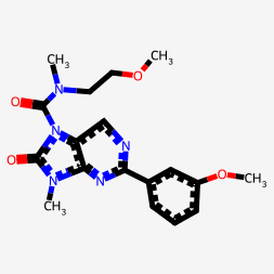 COCCN(C)C(=O)n1c(=O)n(C)c2nc(-c3cccc(OC)c3)ncc21